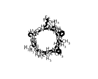 CC[C@H](C)[C@H]1C(=O)NC(C(C)C)C(=O)N(C)CC(=O)N(C)[C@@H](CC(C)C)C(=O)N[C@H](C(=O)N2CCCCC2)CC(=O)N(C)[C@@H](C)C(=O)N[C@@H](CCCC(O)C(F)(F)F)C(=O)N(C)[C@@H](CC(C)C)C(=O)N(C)[C@@H](Cc2ccccc2)C(=O)N[C@@H](CC(C)C)C(=O)N(C)[C@@H](Cc2ccccc2)C(=O)N1C